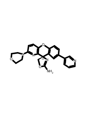 NC1=N[C@@]2(CO1)c1cc(-c3cccnc3)ccc1Oc1ccc(N3CCOCC3)nc12